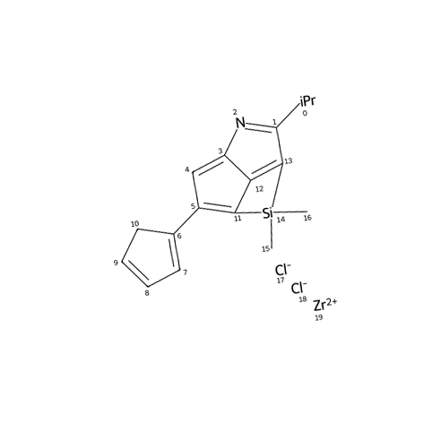 CC(C)C1=NC2=CC(C3=CC=CC3)=C3C2=C1[Si]3(C)C.[Cl-].[Cl-].[Zr+2]